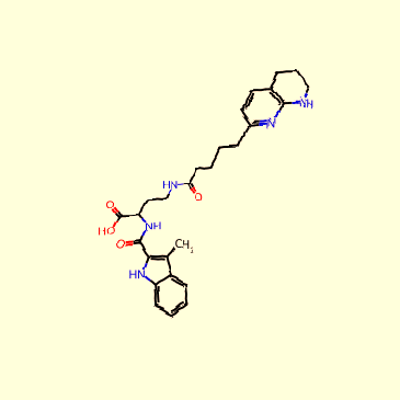 Cc1c(C(=O)NC(CCNC(=O)CCCCc2ccc3c(n2)NCCC3)C(=O)O)[nH]c2ccccc12